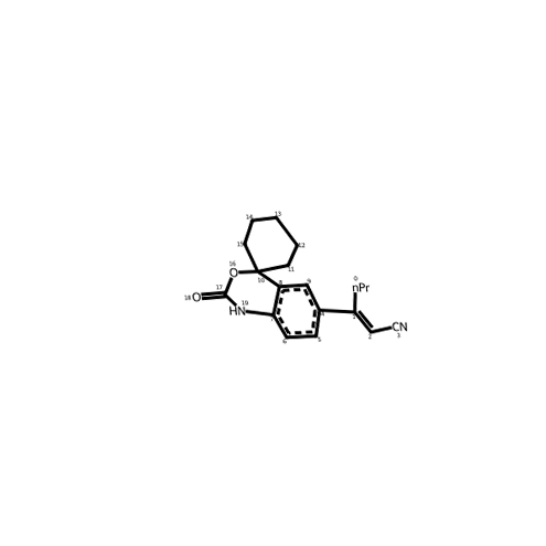 CCC/C(=C\C#N)c1ccc2c(c1)C1(CCCCC1)OC(=O)N2